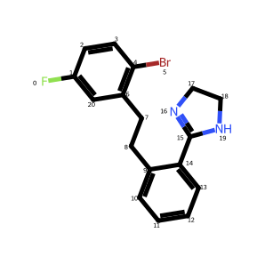 Fc1ccc(Br)c(CCc2ccccc2C2=NCCN2)c1